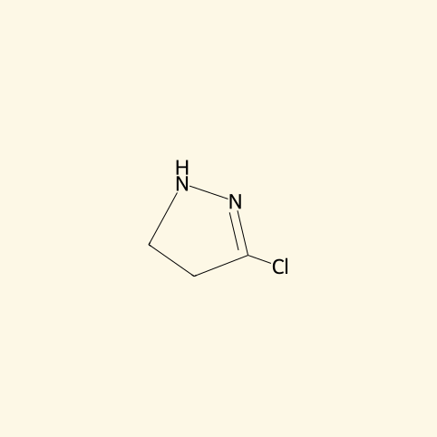 ClC1=NNCC1